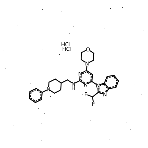 Cl.Cl.FC(F)c1nc2ccccc2n1-c1cc(N2CCOCC2)nc(NCC2CCN(c3ccccc3)CC2)n1